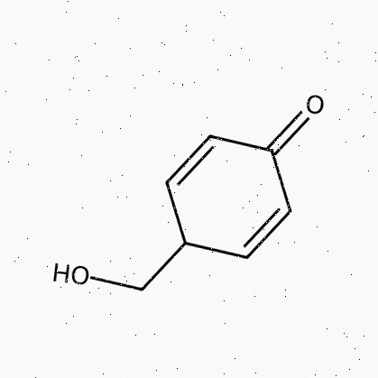 O=C1C=CC(CO)C=C1